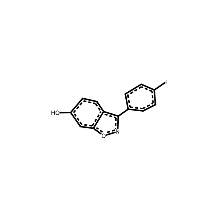 Oc1ccc2c(-c3ccc(I)cc3)noc2c1